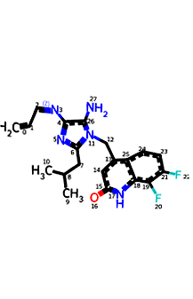 C=C/C=N\c1nc(CC(C)C)n(Cc2cc(=O)[nH]c3c(F)c(F)ccc23)c1N